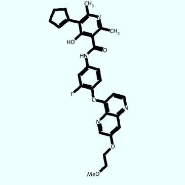 COCCOc1cnc2c(Oc3ccc(NC(=O)c4c(C)nc(C)c(C5=CCCC5)c4O)cc3F)ccnc2c1